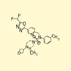 Cc1cccc(N(Cc2ccc(-c3nnc(C(F)F)o3)cn2)S(=O)(=O)N2CCN(C3COC3)[C@@H](C)C2)c1